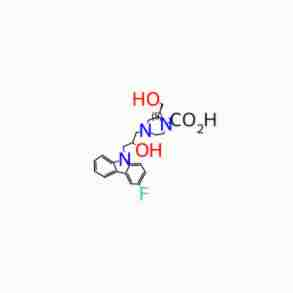 O=C(O)N1CCN(CC(O)Cn2c3ccccc3c3cc(F)ccc32)C[C@H]1CO